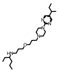 CCCC(CC)NCCCOCCCN1CCN(c2ncc(C(C)CC)cn2)CC1